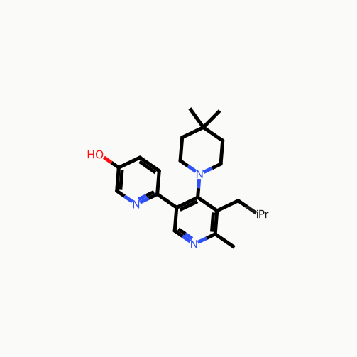 Cc1ncc(-c2ccc(O)cn2)c(N2CCC(C)(C)CC2)c1CC(C)C